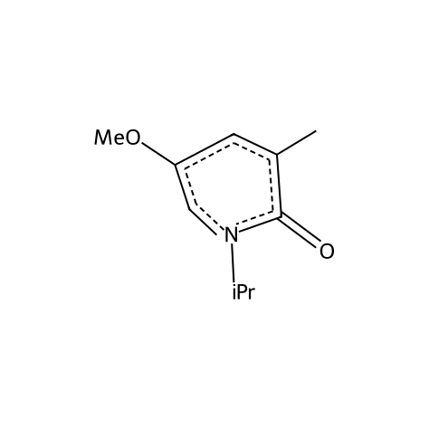 COc1cc(C)c(=O)n(C(C)C)c1